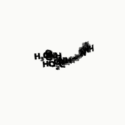 CS(=O)(=O)NCCC(=O)N[C@@H](CCCCCCCc1ccc2c(n1)NCCC2)C(=O)O